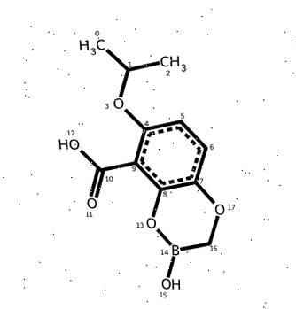 CC(C)Oc1ccc2c(c1C(=O)O)OB(O)CO2